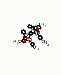 Cc1ccc(-c2nc(-c3ccc(C)cc3)nc(-c3cc(-c4nc(-c5ccc(C)cc5)nc(-c5ccc(C)cc5)n4)c(-n4c5ccccc5c5ccccc54)cc3-n3c4ccccc4c4ccccc43)n2)cc1